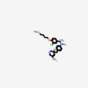 Br.CCCCCCCCCCCCCCOc1ccc(CN(C(C)=O)c2ccc(CC3(C)C=C(C)C=NC3)cc2)cc1Cl